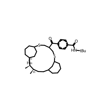 C[C@H]1[C@H]2CCCC(CC2)SCC(C(=O)c2ccc(C(=O)NC(C)(C)C)cc2)CSC2CCCCC(CC[C@H]1C)C2